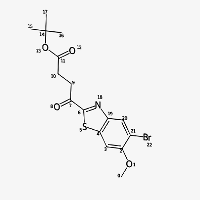 COc1cc2sc(C(=O)CCC(=O)OC(C)(C)C)nc2cc1Br